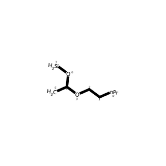 CCCCCOC(C)O[SiH3]